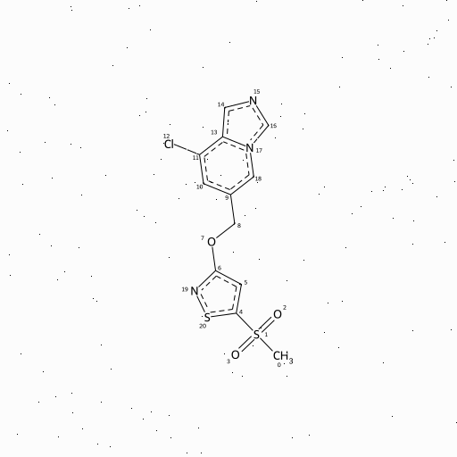 CS(=O)(=O)c1cc(OCc2cc(Cl)c3cncn3c2)ns1